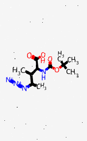 CC(N=[N+]=[N-])C(C)C(NC(=O)OC(C)(C)C)C(=O)O